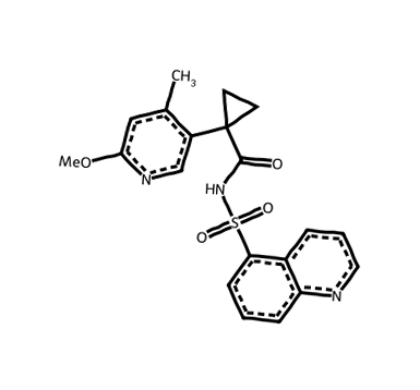 COc1cc(C)c(C2(C(=O)NS(=O)(=O)c3cccc4ncccc34)CC2)cn1